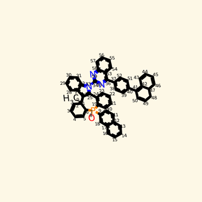 CC12C=CC=CC1P(=O)(c1ccc3ccccc3c1)c1ccccc1-c1c2c2ccccc2n1-c1nc(-c2ccc(C3=C4C=CC=CC4CC=C3)cc2)c2ccccc2n1